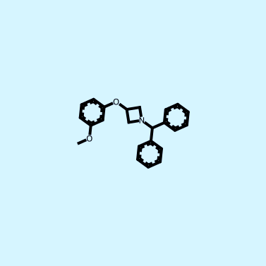 COc1cccc(OC2CN(C(c3ccccc3)c3ccccc3)C2)c1